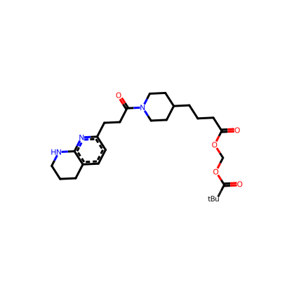 CC(C)(C)C(=O)OCOC(=O)CCCC1CCN(C(=O)CCc2ccc3c(n2)NCCC3)CC1